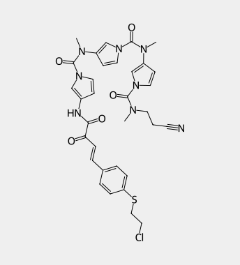 CN(CCC#N)C(=O)n1ccc(N(C)C(=O)n2ccc(N(C)C(=O)n3ccc(NC(=O)C(=O)/C=C/c4ccc(SCCCl)cc4)c3)c2)c1